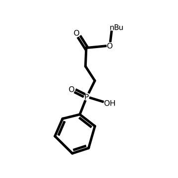 CCCCOC(=O)CCP(=O)(O)c1ccccc1